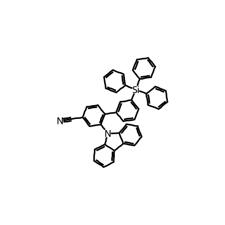 N#Cc1ccc(-c2cccc([Si](c3ccccc3)(c3ccccc3)c3ccccc3)c2)c(-n2c3ccccc3c3ccccc32)c1